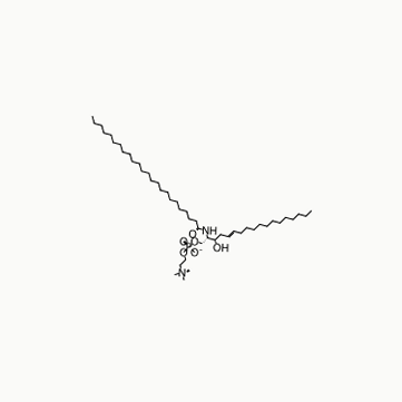 CCCCCCCCCCCCC=CC[C@@H](O)[C@H](COP(=O)([O-])OCC[N+](C)(C)C)NC(=O)CCCCCCCCCCCCCCCCCCCCCCC